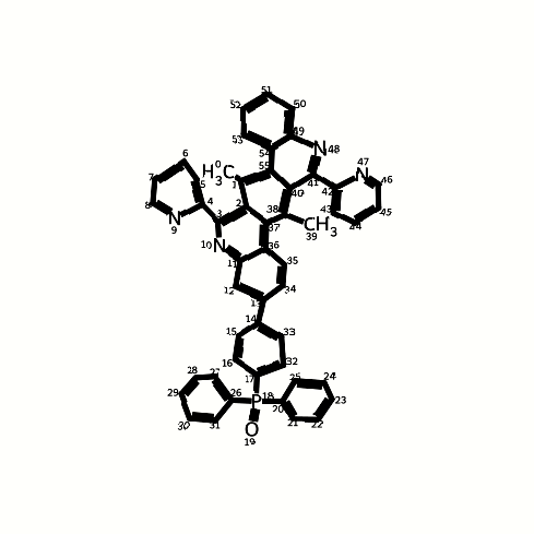 Cc1c2c(-c3ccccn3)nc3cc(-c4ccc(P(=O)(c5ccccc5)c5ccccc5)cc4)ccc3c2c(C)c2c(-c3ccccn3)nc3ccccc3c12